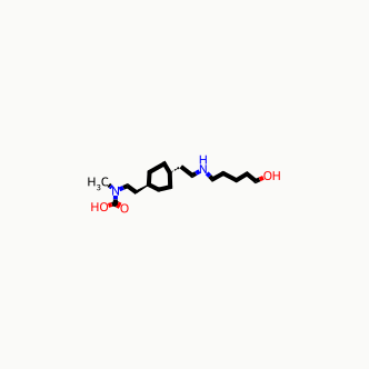 CN(CC[C@H]1CC[C@H](CCNCCCCCO)CC1)C(=O)O